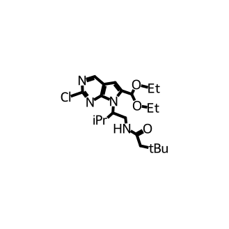 CCOC(OCC)c1cc2cnc(Cl)nc2n1C(CNC(=O)CC(C)(C)C)C(C)C